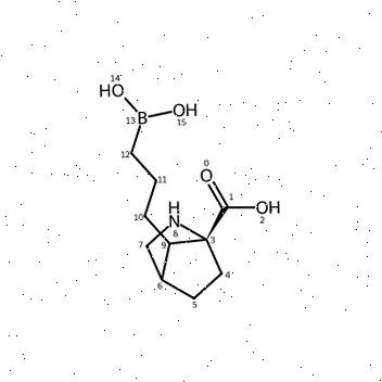 O=C(O)[C@]12CCC(CN1)C2CCCB(O)O